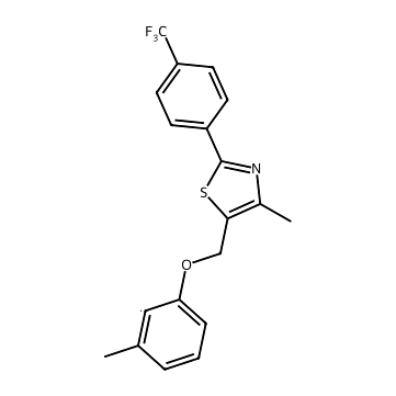 Cc1[c]c(OCc2sc(-c3ccc(C(F)(F)F)cc3)nc2C)ccc1